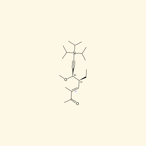 CC[C@@H](/C=C(\C)C(C)=O)[C@H](C#C[Si](C(C)C)(C(C)C)C(C)C)OC